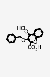 Cl.O=C(O)c1oc2ccccc2c(=O)c1OCc1ccccc1